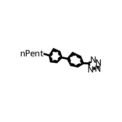 CCCCCc1ccc(-c2ccc(C3N=NN=N3)cc2)cc1